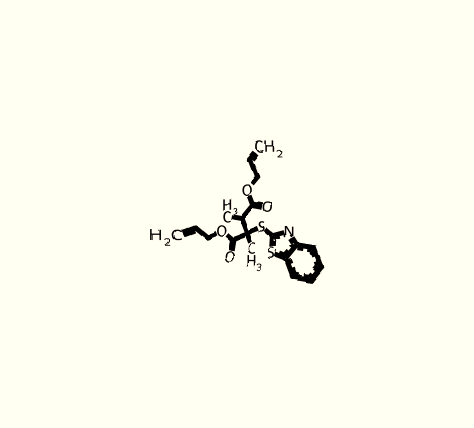 C=CCOC(=O)C(C)C(C)(Sc1nc2ccccc2s1)C(=O)OCC=C